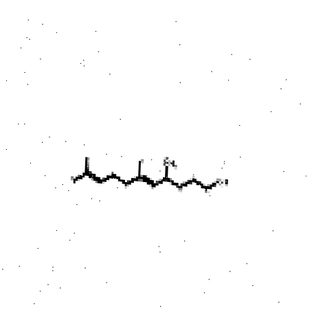 CC(C)=CCC/C(C)=C/C(N)CCCO